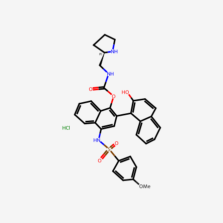 COc1ccc(S(=O)(=O)Nc2cc(-c3c(O)ccc4ccccc34)c(OC(=O)NC[C@H]3CCCN3)c3ccccc23)cc1.Cl